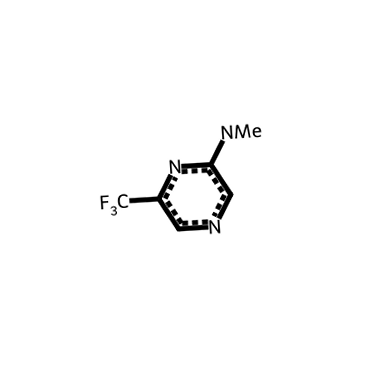 CNc1cncc(C(F)(F)F)n1